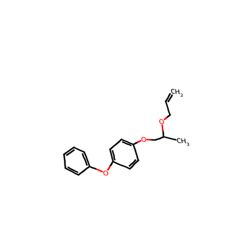 C=CCOC(C)COc1ccc(Oc2ccccc2)cc1